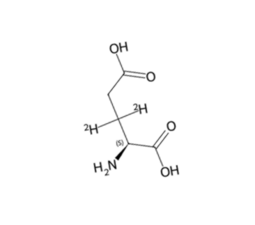 [2H]C([2H])(CC(=O)O)[C@H](N)C(=O)O